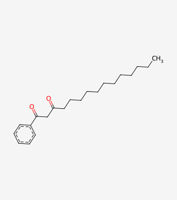 CCCCCCCCCCCCC(=O)CC(=O)c1ccccc1